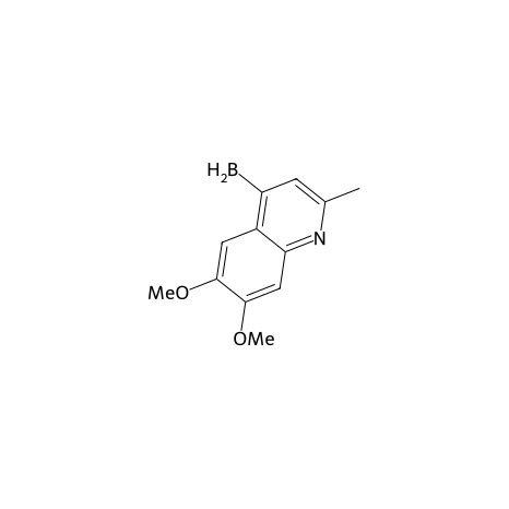 Bc1cc(C)nc2cc(OC)c(OC)cc12